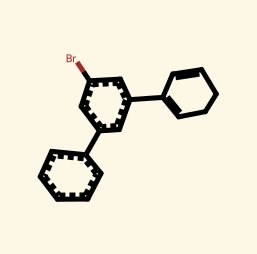 Brc1cc(C2=CCCC=C2)cc(-c2ccccc2)c1